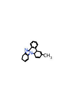 CC1=CC2c3ccccc3-c3nc4c(n3C2C=C1)C=CCC4